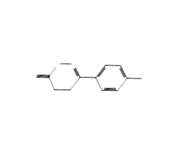 C[C@@H]1CC(=O)NN=C1c1ccc(I)cc1